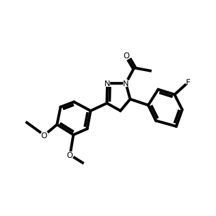 COc1ccc(C2=NN(C(C)=O)C(c3cccc(F)c3)C2)cc1OC